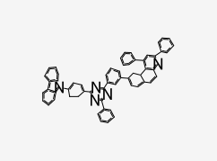 C1=Cc2nc(-c3ccccc3)cc(-c3ccccc3)c2C2CC(c3cccc(-c4nc(C5=CC=C(n6c7ccccc7c7ccccc76)CC5)nc(-c5ccccc5)n4)c3)=CC=C12